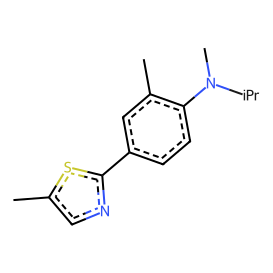 Cc1cnc(-c2ccc(N(C)C(C)C)c(C)c2)s1